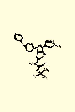 CN(C(=O)OC(C)(C)C)c1cc2c(cn1)c(-c1cnn(C)c1)nn2C1CCC(Oc2ccccc2)CC1